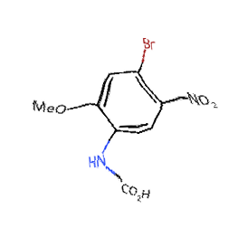 COc1cc(Br)c([N+](=O)[O-])cc1NC(=O)O